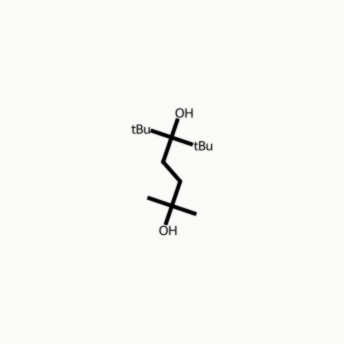 CC(C)(O)CCC(O)(C(C)(C)C)C(C)(C)C